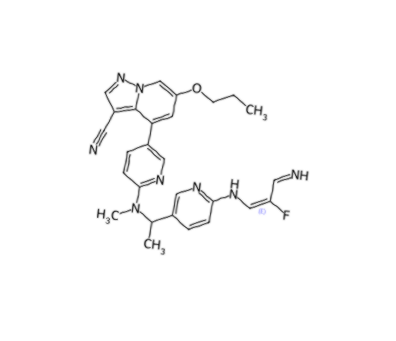 CCCOc1cc(-c2ccc(N(C)C(C)c3ccc(N/C=C(/F)C=N)nc3)nc2)c2c(C#N)cnn2c1